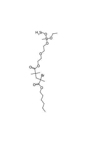 CCCCCCOC(=O)C(C)(Br)CC(C)(C)C(=O)OCCOCCO[Si](C)(O[SiH3])OCC